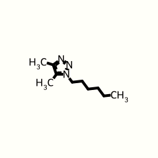 CCCCCCn1nnc(C)c1C